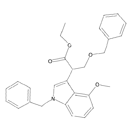 CCOC(=O)C(COCc1ccccc1)c1cn(Cc2ccccc2)c2cccc(OC)c12